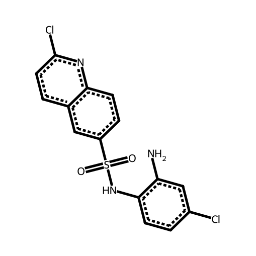 Nc1cc(Cl)ccc1NS(=O)(=O)c1ccc2nc(Cl)ccc2c1